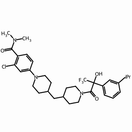 CC(C)c1cccc(C(O)(C(=O)N2CCC(CC3CCN(c4ccc(C(=O)N(C)C)c(Cl)c4)CC3)CC2)C(F)(F)F)c1